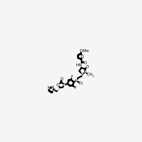 CCN(CCN1C[C@H](NC(=O)c2ccc(OC)o2)C(=O)N1C)c1c(F)cc(N2C[C@H](Cn3ccnn3)OC2=O)cc1F